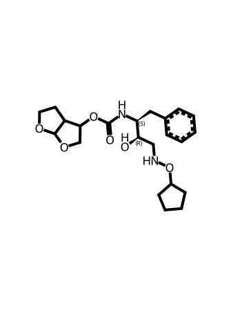 O=C(N[C@@H](Cc1ccccc1)[C@H](O)CNOC1CCCC1)OC1COC2OCCC12